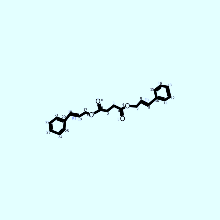 O=C(CCC(=O)OC/C=C/c1ccccc1)OC/C=C/c1ccccc1